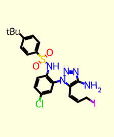 CC(C)(C)c1ccc(S(=O)(=O)Nc2ccc(Cl)cc2-n2nnc(N)c2/C=C\CI)cc1